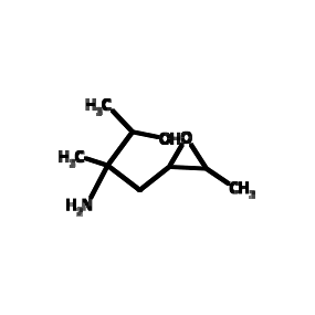 CC1OC1CC(C)(N)C(C)O